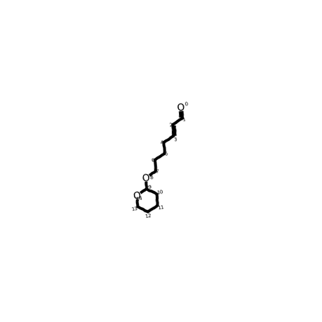 O=C/C=C/CCCCOC1CCCCO1